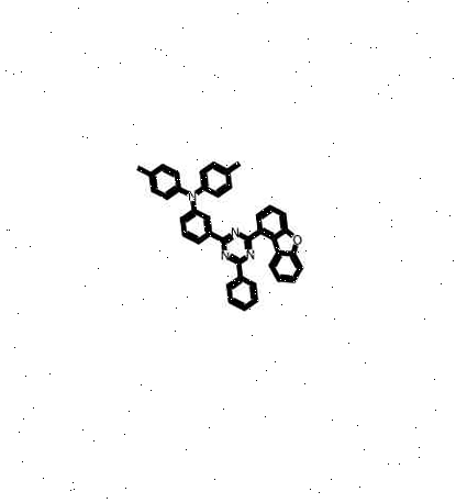 Cc1ccc(N(c2ccc(C)cc2)c2cccc(-c3nc(-c4ccccc4)nc(-c4cccc5oc6ccccc6c45)n3)c2)cc1